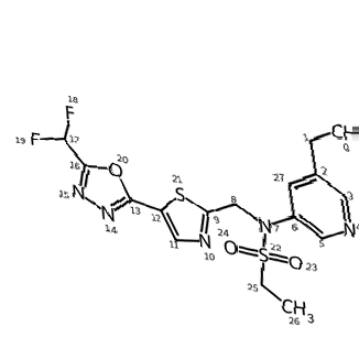 CCc1cncc(N(Cc2ncc(-c3nnc(C(F)F)o3)s2)S(=O)(=O)CC)c1